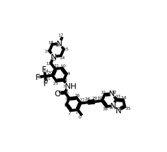 Cc1ccc(C(=O)Nc2ccc(CN3CCN(C)CC3)c(C(F)(F)F)c2)cc1C#Cc1cnc2ccnn2c1